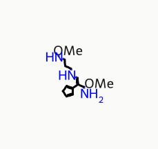 CONCCCN/C=C(\C1=CCC=C1)[C@@H](N)OC